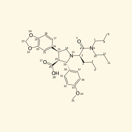 CCC[C@H](C(=O)N(CCC)CCC)N1C[C@H](c2ccc3c(c2)OCO3)[C@H](C(=O)O)[C@H]1c1ccc(OC)cc1